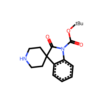 CC(C)(C)OC(=O)N1C(=O)C2(CCNCC2)c2ccccc21